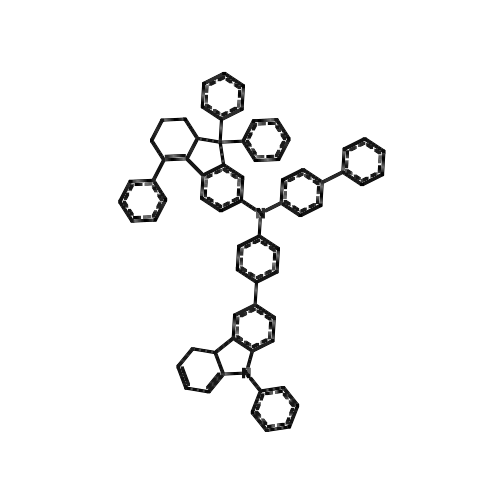 C1=CCC2C(=C1)N(c1ccccc1)c1ccc(-c3ccc(N(c4ccc(-c5ccccc5)cc4)c4ccc5c(c4)C(c4ccccc4)(c4ccccc4)C4CCCC(c6ccccc6)=C54)cc3)cc12